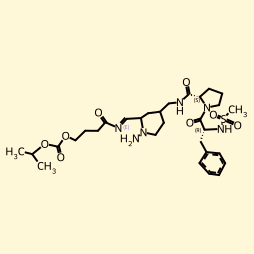 CC(C)OC(=O)OCCCC(=O)/N=C/C1CC(CNC(=O)[C@@H]2CCCN2C(=O)[C@@H](Cc2ccccc2)NS(C)(=O)=O)CCN1N